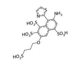 Nc1cc(S(=O)(=O)O)c2cc(OCCCS(=O)(=O)O)c(S(=O)(=O)O)c(S(=O)(=O)O)c2c1-c1nccs1